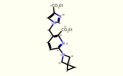 CCOC(=O)c1cn(Cc2ccc(N3CC4(CC4)C3)nc2C(=O)OCC)cn1